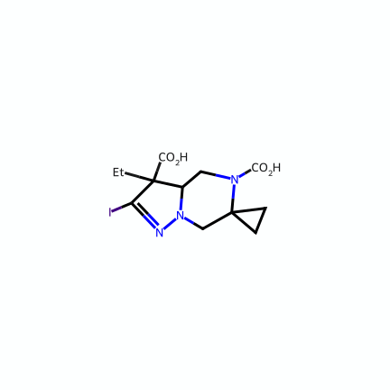 CCC1(C(=O)O)C(I)=NN2CC3(CC3)N(C(=O)O)CC21